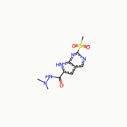 CN(C)NC(=O)c1cc2cnc(S(C)(=O)=O)nc2[nH]1